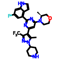 Cc1c(-c2cc(N3CCOC[C@H]3C)nc(-c3cc(F)cc4[nH]ccc34)n2)c(C(F)(F)F)nn1C1CCNCC1